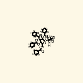 N=C(O[C@@H]1OC(COC(=O)c2ccccc2)[C@H](OC(=O)c2ccccc2)C(OC(=O)c2ccccc2)[C@@H]1OC(=O)c1ccccc1)C(Cl)(Cl)Cl